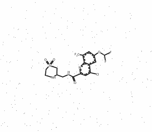 O=C(NCC1CS(=O)(=O)CCN1)c1cc(Cl)c2cc(OC(F)F)cc(C(F)(F)F)c2n1